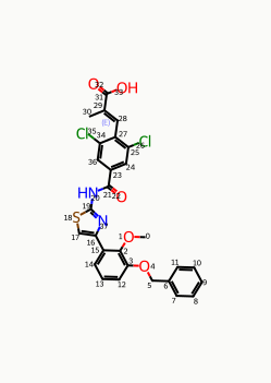 COc1c(OCc2ccccc2)cccc1-c1csc(NC(=O)c2cc(Cl)c(/C=C(\C)C(=O)O)c(Cl)c2)n1